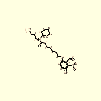 CCCCN(C(=O)CCCCCCOc1ccc(F)c([N+](=O)[O-])c1C=O)C1CCCCC1